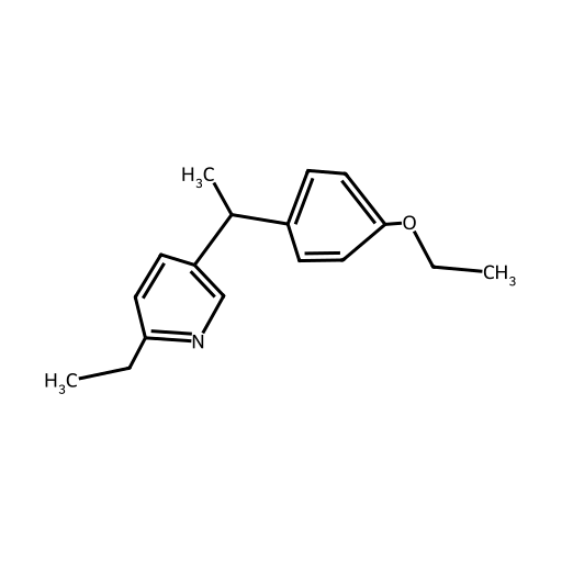 CCOc1ccc(C(C)c2ccc(CC)nc2)cc1